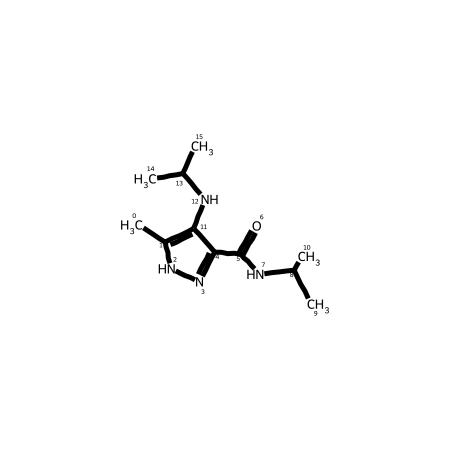 Cc1[nH]nc(C(=O)NC(C)C)c1NC(C)C